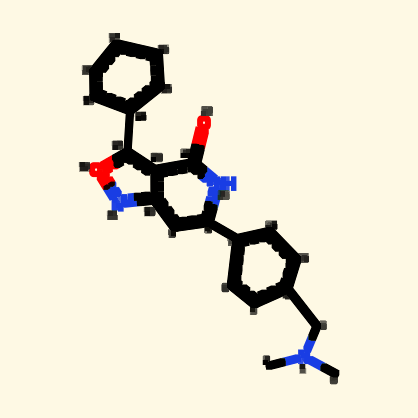 CN(C)Cc1ccc(-c2cc3noc(-c4ccccc4)c3c(=O)[nH]2)cc1